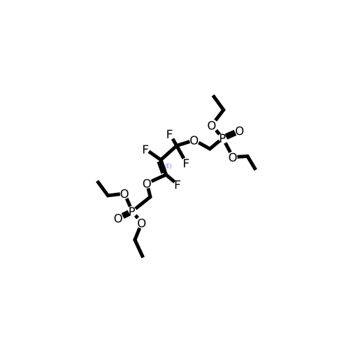 CCOP(=O)(CO/C(F)=C(\F)C(F)(F)OCP(=O)(OCC)OCC)OCC